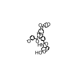 COc1cccc(C(=O)Nc2cc(C(=O)NC(CC(=O)O)c3cccs3)ccc2N2CCCN(C(=O)N3CCOCC3)CC2)c1